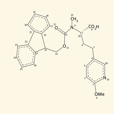 COc1ccc(CC[C@@H](C(=O)O)N(C)C(=O)OCC2c3ccccc3-c3ccccc32)cn1